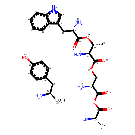 CC(C)[C@H](N)C(=O)OC(=O)[C@@H](N)COC(=O)[C@@H](N)[C@@H](C)OC(=O)[C@@H](N)Cc1c[nH]c2ccccc12.N[C@@H](Cc1ccc(O)cc1)C(=O)O